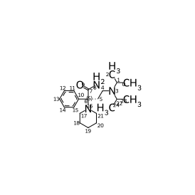 CC(C)N(CC[C@@](C(N)=O)(c1ccccc1)N1CCCCC1)C(C)C